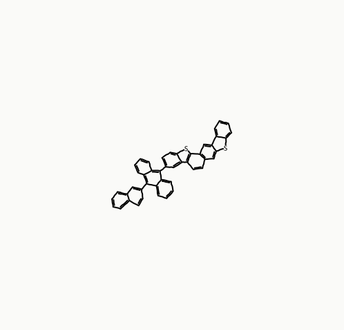 c1ccc2cc(-c3c4ccccc4c(-c4ccc5sc6c7cc8c(cc7ccc6c5c4)sc4ccccc48)c4ccccc34)ccc2c1